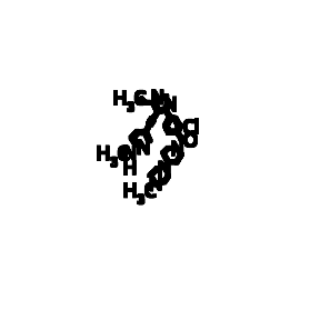 CCc1ncnc(-c2ccc(C(=O)N3CCC(N4CCN(C)CC4)CC3)c(Cl)c2)c1C#Cc1ccc(NC)nc1